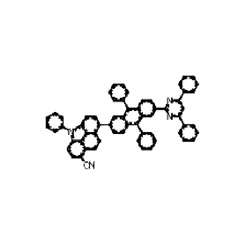 N#Cc1ccc2c3c1ccc1c(-c4ccc5c(-c6ccccc6)c6cc(-c7nc(-c8ccccc8)cc(-c8ccccc8)n7)ccc6c(-c6ccccc6)c5c4)ccc(c13)n2-c1ccccc1